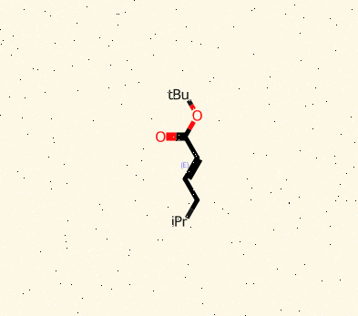 CC(C)C/C=C/C(=O)OC(C)(C)C